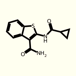 NC(=O)c1c(NC(=O)C2CC2)sc2ccccc12